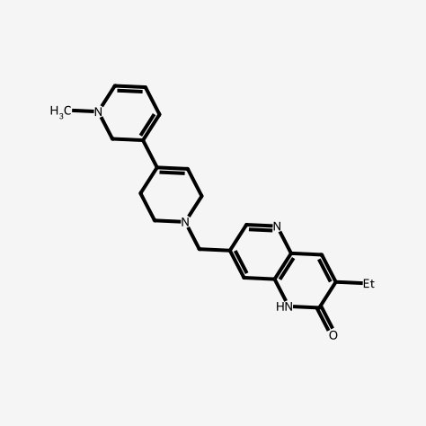 CCc1cc2ncc(CN3CC=C(C4=CC=CN(C)C4)CC3)cc2[nH]c1=O